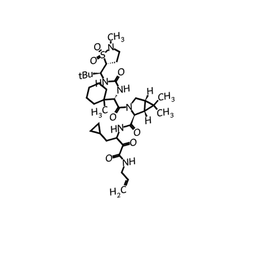 C=CCNC(=O)C(=O)C(CC1CC1)NC(=O)[C@@H]1[C@@H]2[C@H](CN1C(=O)[C@@H](NC(=O)N[C@H]([C@H]1CCN(C)S1(=O)=O)C(C)(C)C)C1(C)CCCCC1)C2(C)C